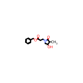 C[C@@H]1C(=O)N(CCC(=O)OCc2ccccc2)C[C@@H]1O